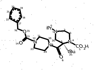 CC(C)N1CCN(C(=O)O)[C@](C(=O)N2CCN(C(=O)OCc3ccccc3)CC2)(C(C)(C)C)C1